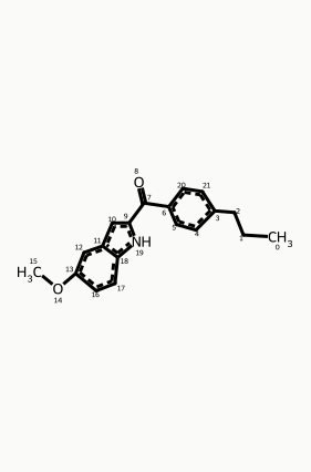 CCCc1ccc(C(=O)c2cc3cc(OC)ccc3[nH]2)cc1